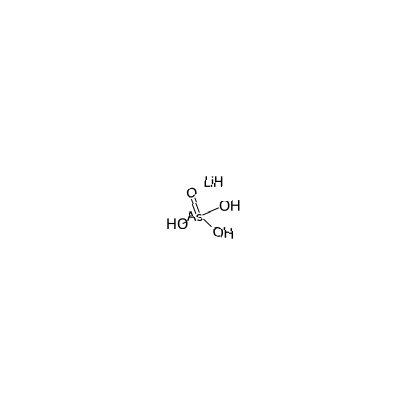 O=[As](O)(O)O.[LiH]